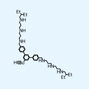 CCC(CC)CNCCCNCCCNCc1ccc(-c2cc(-c3ccc(CNCCCNCCCNCC(CC)CC)cc3)cc(C(C)(C)C)c2)cc1.Cl